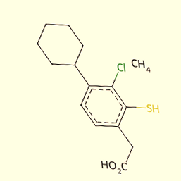 C.O=C(O)Cc1ccc(C2CCCCC2)c(Cl)c1S